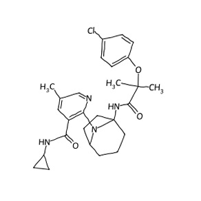 Cc1cnc(N2C3CCCC2(NC(=O)C(C)(C)Oc2ccc(Cl)cc2)CC3)c(C(=O)NC2CC2)c1